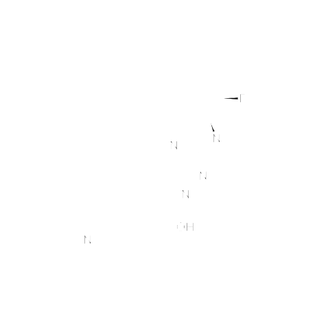 CN(c1ncc(-c2cc3ccncc3cc2O)nn1)[C@H]1CCC[C@H]1F